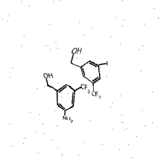 Nc1cc(CO)cc(C(F)(F)F)c1.OCc1cc(I)cc(C(F)(F)F)c1